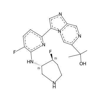 CC(C)(O)c1cn2c(-c3ccc(F)c(N[C@H]4CNCC[C@@H]4F)n3)cnc2cn1